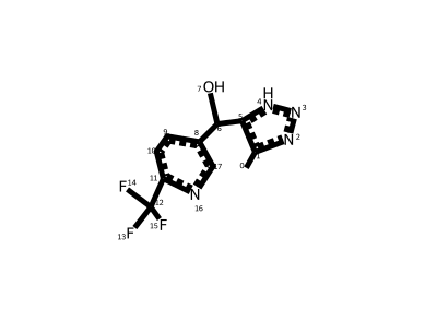 Cc1nn[nH]c1C(O)c1ccc(C(F)(F)F)nc1